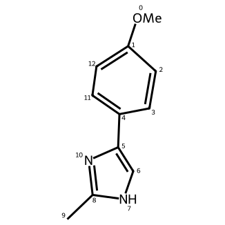 COc1ccc(-c2c[nH]c(C)n2)cc1